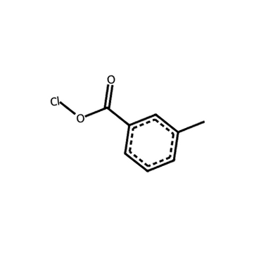 Cc1cccc(C(=O)OCl)c1